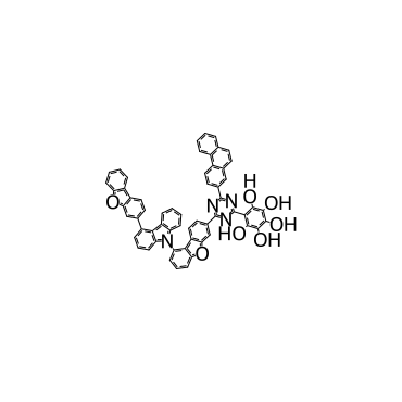 Oc1c(O)c(O)c(-c2nc(-c3ccc4c(ccc5ccccc54)c3)nc(-c3ccc4c(c3)oc3cccc(-n5c6ccccc6c6c(-c7ccc8c(c7)oc7ccccc78)cccc65)c34)n2)c(O)c1O